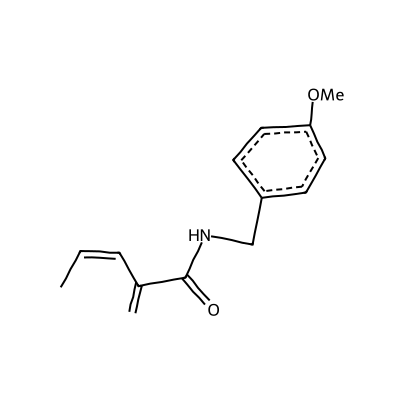 C=C(/C=C\C)C(=O)NCc1ccc(OC)cc1